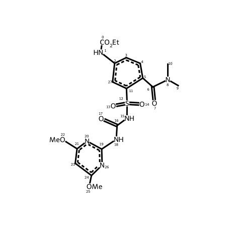 CCOC(=O)Nc1ccc(C(=O)N(C)C)c(S(=O)(=O)NC(=O)Nc2nc(OC)cc(OC)n2)c1